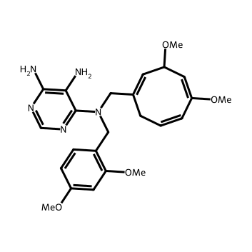 COC1=C/C(OC)C=C(CN(Cc2ccc(OC)cc2OC)c2ncnc(N)c2N)C/C=C\1